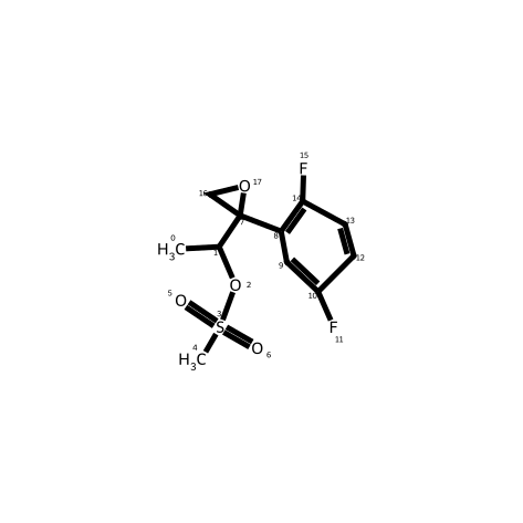 CC(OS(C)(=O)=O)C1(c2cc(F)ccc2F)CO1